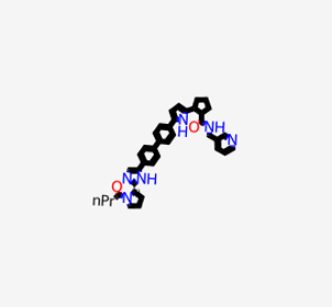 CCCC(=O)N1CCC[C@H]1c1ncc(-c2ccc(-c3ccc(-c4ccc(C5CCCC5C(=O)NCc5cccnc5)[nH]4)cc3)cc2)[nH]1